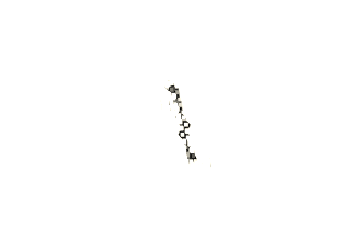 Cc1c(OCCCNCCCN2CCOCC2)cccc1-c1cccc(OCCCN2CC[C@@H](O)C2)c1C